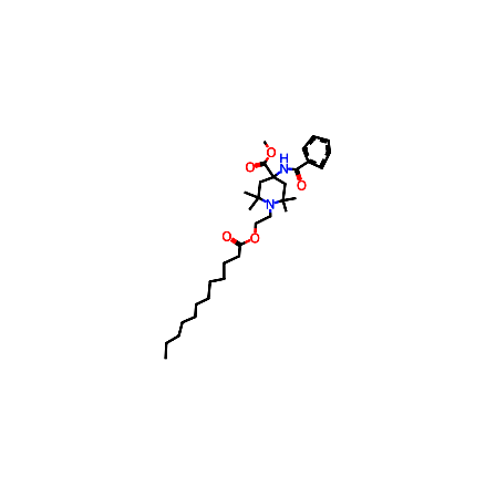 CCCCCCCCCCCC(=O)OCCN1C(C)(C)CC(NC(=O)c2ccccc2)(C(=O)OC)CC1(C)C